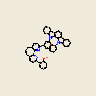 Oc1ccccc1-c1ccc2c(n1)-c1nc(-c3cccc(-n4c5ccccc5c5ccc6c7ccccc7n(-c7ccccc7)c6c54)c3)ccc1CC=C2